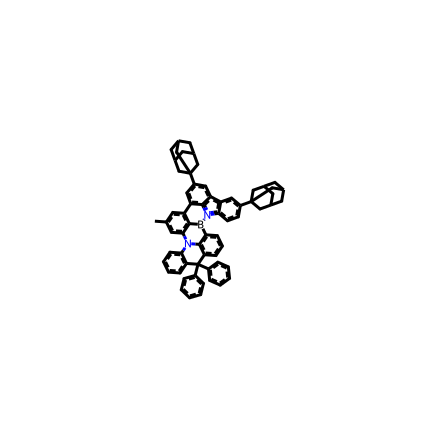 Cc1cc2c3c(c1)N1c4ccccc4C(c4ccccc4)(c4ccccc4)c4cccc(c41)B3n1c3ccc(C45CC6CC(CC(C6)C4)C5)cc3c3cc(C45CC6CC(CC(C6)C4)C5)cc-2c31